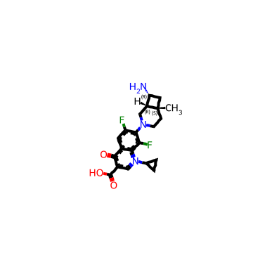 C[C@@]12CCN(c3c(F)cc4c(=O)c(C(=O)O)cn(C5CC5)c4c3F)C[C@@H]1[C@H](N)C2